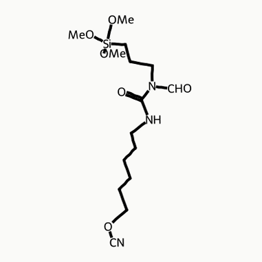 CO[Si](CCCN(C=O)C(=O)NCCCCCCOC#N)(OC)OC